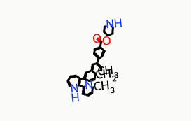 C=c1ccc(C2=C(c3cccc(C)n3)NC=CC=C2)c/c1=C/C(=C\C)c1ccc(C(=O)OC2CCNCC2)cc1